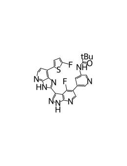 CC(C)(C)C(=O)Nc1cncc(-c2cnc3[nH]nc(-c4nc5c(-c6ccc(F)s6)ccnc5[nH]4)c3c2F)c1